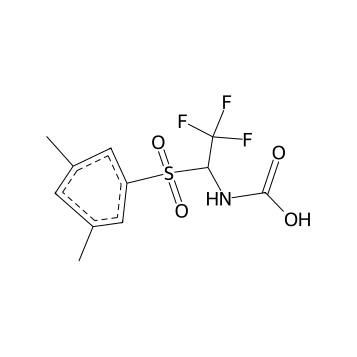 Cc1cc(C)cc(S(=O)(=O)C(NC(=O)O)C(F)(F)F)c1